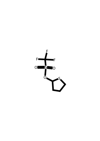 O=S(=O)(OC1CCCS1)C(F)(F)F